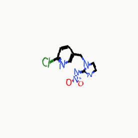 O=[N+]([O-])N=C1N=CCN1Cc1ccc(Cl)nc1